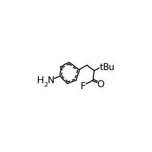 CC(C)(C)C(Cc1ccc(N)cc1)C(=O)F